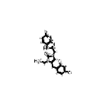 CCn1c(Cc2ccc(Cl)cc2Cl)cn(Cc2nc3nc(F)ccc3[nH]2)c1=O